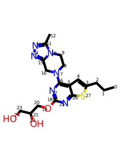 CCCc1cc2c(N3CCn4c(C)nnc4C3)nc(OCC(O)CO)nc2s1